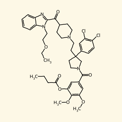 CCCC(=O)Oc1cc(C(=O)N2CCC(CCN3CCC(C(=O)c4nc5ccccc5n4CCOCC)CC3)(c3ccc(Cl)c(Cl)c3)C2)cc(OC)c1OC